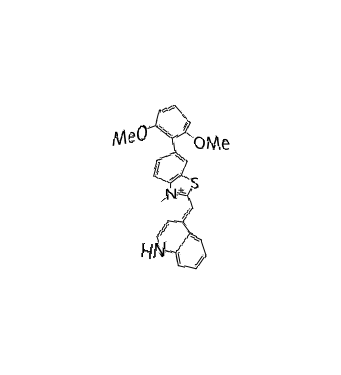 COc1cccc(OC)c1-c1ccc2c(c1)sc(C=C1C=CNc3ccccc31)[n+]2C